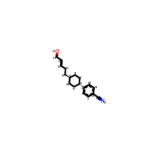 N#Cc1ccc([C@H]2CC[C@H](CCC=CC=O)CC2)cc1